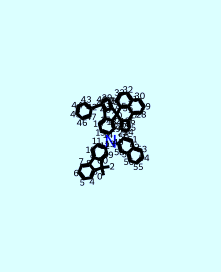 CC1(C)c2ccccc2-c2ccc(N(c3ccc4c(c3)C3(c5ccccc5-c5cccc6cccc3c56)c3cccc(-c5ccccc5)c3-4)c3ccc4ccccc4c3)cc21